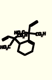 C=CC(C(=O)O)(C(=O)O)C1=CCCCC1C(C=C)(C(=O)O)C(=O)O